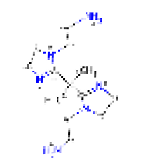 CC(C)(C1=NCCN1CCN)C1=NCCN1CCN